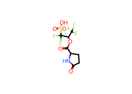 O=C1CCC(C(=O)OC(C(F)(F)F)C(F)(F)S(=O)(=O)O)N1